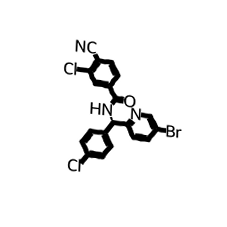 N#Cc1ccc(C(=O)N[C@@H](c2ccc(Cl)cc2)c2ccc(Br)cn2)cc1Cl